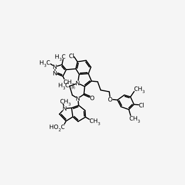 Cc1cc(N2C[C@@H](C)n3c(c(CCCOc4cc(C)c(Cl)c(C)c4)c4ccc(Cl)c(-c5c(C)nn(C)c5C)c43)C2=O)c2c(c1)c(C(=O)O)cn2C